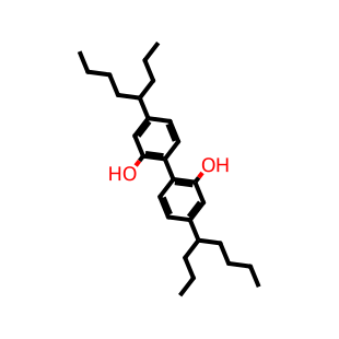 CCCCC(CCC)c1ccc(-c2ccc(C(CCC)CCCC)cc2O)c(O)c1